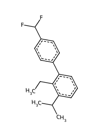 CCc1c(-c2ccc(C(F)F)cc2)cccc1C(C)C